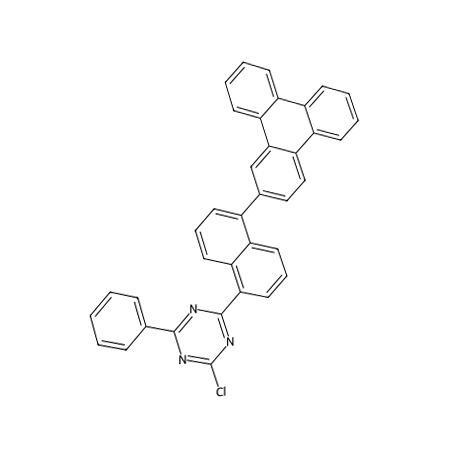 Clc1nc(-c2ccccc2)nc(-c2cccc3c(-c4ccc5c6ccccc6c6ccccc6c5c4)cccc23)n1